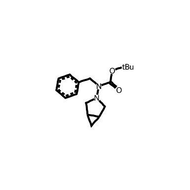 CC(C)(C)OC(=O)N(Cc1ccccc1)N1CC2CC2C1